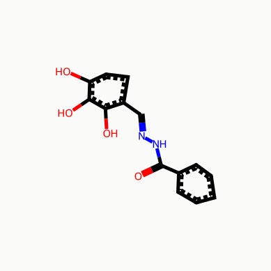 O=C(NN=Cc1ccc(O)c(O)c1O)c1ccccc1